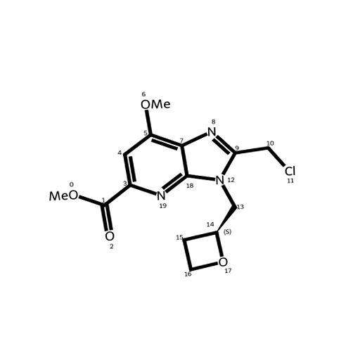 COC(=O)c1cc(OC)c2nc(CCl)n(C[C@@H]3CCO3)c2n1